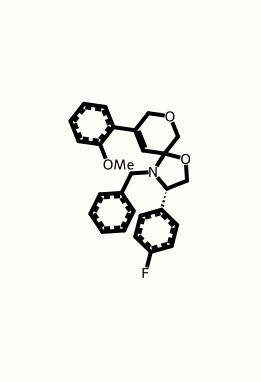 COc1ccccc1C1=CC2(COC1)OC[C@H](c1ccc(F)cc1)N2Cc1ccccc1